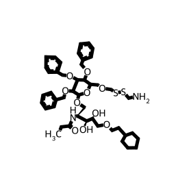 CCC(=O)N[C@@H](COC1OC(COCSSCN)C(OCc2ccccc2)C(OCc2ccccc2)C1OCc1ccccc1)[C@H](O)[C@H](O)COCCC1CCCCC1